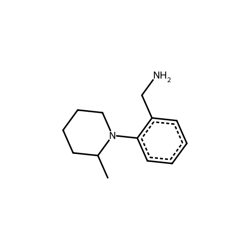 CC1CCCCN1c1ccccc1CN